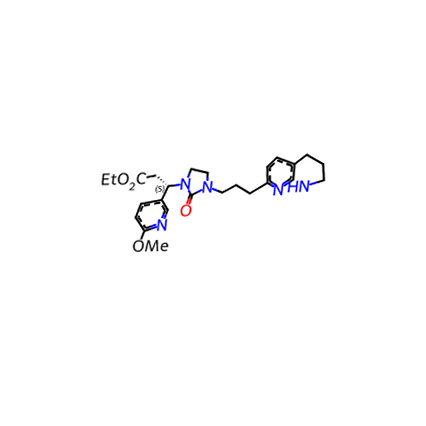 CCOC(=O)C[C@@H](c1ccc(OC)nc1)N1CCN(CCCc2ccc3c(n2)NCCC3)C1=O